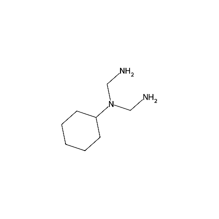 NCN(CN)C1CCCCC1